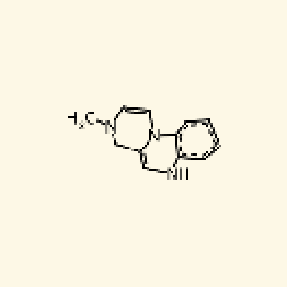 CN1C=CN2C(=CNc3ccccc32)C1